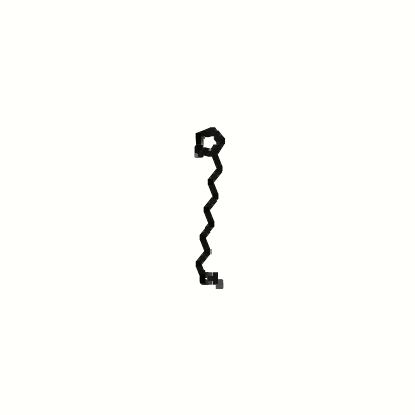 CCCCCCCCCc1cccs1